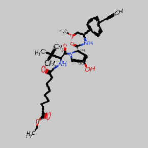 C#Cc1ccc(C(COC)NC(=O)[C@@H]2C[C@@H](O)CN2C(=O)C(NC(=O)CCCCCCC(=O)OCC)C(C)(C)C)cc1